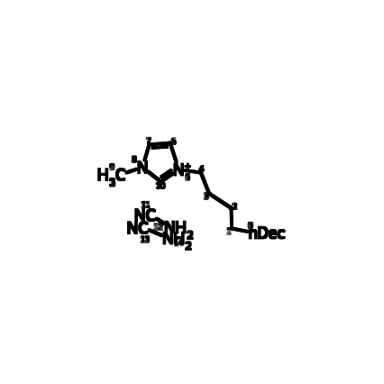 CCCCCCCCCCCCCC[n+]1ccn(C)c1.N#CN.N#CN